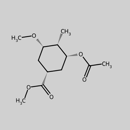 COC(=O)[C@@H]1C[C@H](OC)[C@H](C)[C@H](OC(C)=O)C1